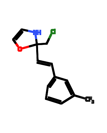 FC(F)(F)c1cccc(/C=C/C2(CCl)NC=CO2)c1